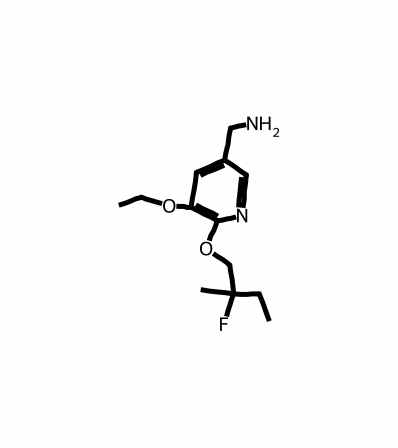 CCOc1cc(CN)cnc1OCC(C)(F)CC